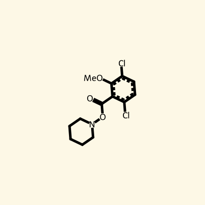 COc1c(Cl)ccc(Cl)c1C(=O)ON1CCCCC1